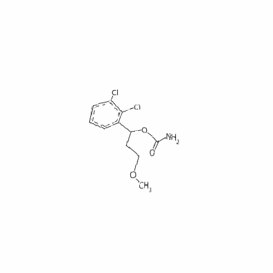 COCCC(OC(N)=O)c1cccc(Cl)c1Cl